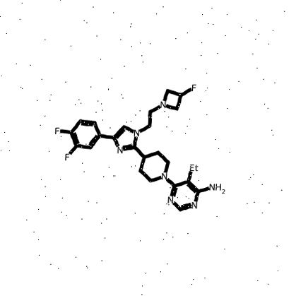 CCc1c(N)ncnc1N1CCC(c2nc(-c3ccc(F)c(F)c3)cn2CCN2CC(F)C2)CC1